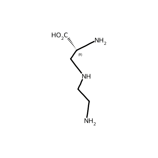 NCCNC[C@@H](N)C(=O)O